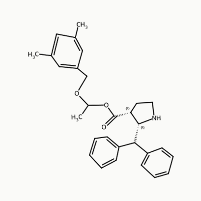 Cc1cc(C)cc(COC(C)OC(=O)[C@@H]2CCN[C@@H]2C(c2ccccc2)c2ccccc2)c1